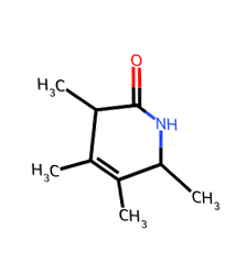 CC1=C(C)C(C)C(=O)NC1C